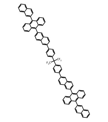 FC(F)(F)C(c1ccc(-c2ccc3cc(-c4c5ccccc5c(-c5ccc6ccccc6c5)c5ccccc45)ccc3c2)cc1)(c1ccc(-c2ccc3cc(-c4c5ccccc5c(-c5ccc6ccccc6c5)c5ccccc45)ccc3c2)cc1)C(F)(F)F